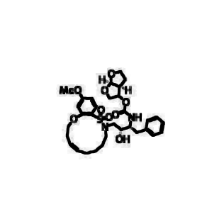 COc1ccc2c(c1)OCC/C=C\CCCCN(C[C@@H](O)[C@H](Cc1ccccc1)NC(=O)OC1CO[C@H]3OCC[C@@H]13)S2(=O)=O